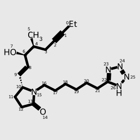 CCC#CC[C@H](C)[C@H](O)C=C[C@H]1CCC(=O)N1CCCCCCc1nnn[nH]1